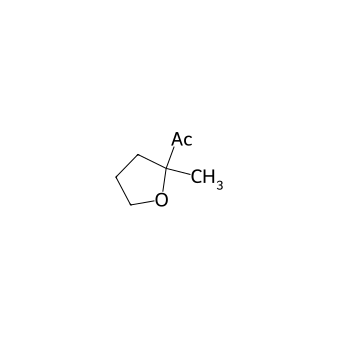 CC(=O)C1(C)CCCO1